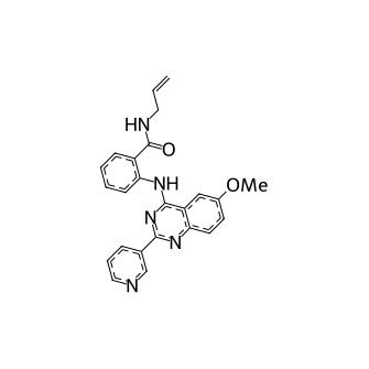 C=CCNC(=O)c1ccccc1Nc1nc(-c2cccnc2)nc2ccc(OC)cc12